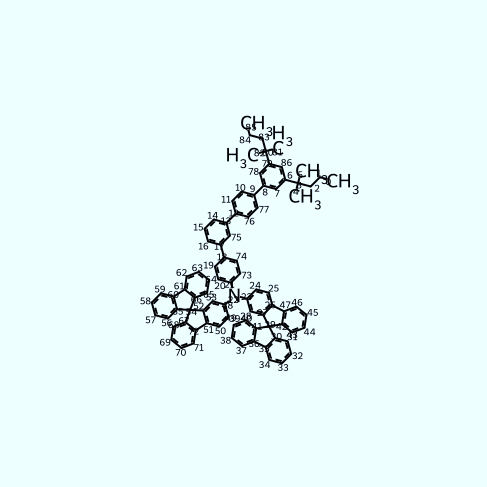 CCCC(C)(C)c1cc(-c2ccc(-c3cccc(-c4ccc(N(c5ccc6c(c5)C5(c7ccccc7-c7ccccc75)c5ccccc5-6)c5ccc6c(c5)C5(c7ccccc7-c7ccccc75)c5ccccc5-6)cc4)c3)cc2)cc(C(C)(C)CCC)c1